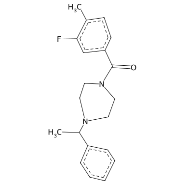 Cc1ccc(C(=O)N2CCN(C(C)c3ccccc3)CC2)cc1F